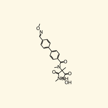 CNC(=O)C(C)(C(=O)NO)N(C)C(=O)c1ccc(-c2ccc(/C=N/OC)cc2)cc1